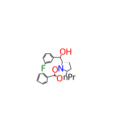 CCC[C@@H]1CC[C@@H]([C@H](O)c2cccc(F)c2)N1OC(=O)c1ccccc1